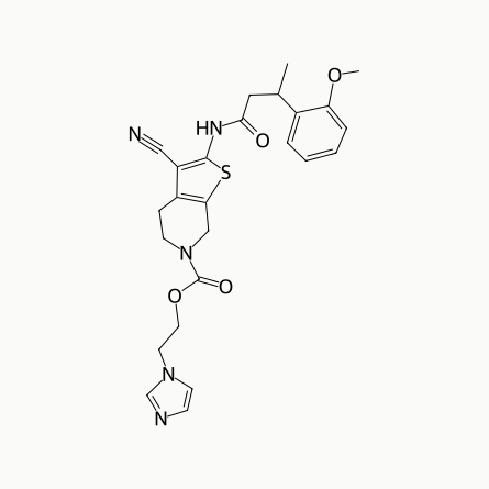 COc1ccccc1C(C)CC(=O)Nc1sc2c(c1C#N)CCN(C(=O)OCCn1ccnc1)C2